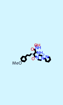 COc1ccc(CCC[C@@H](C(=O)N2CCN(c3ccccn3)CC2)[C@H](N)C(=O)NO)cc1